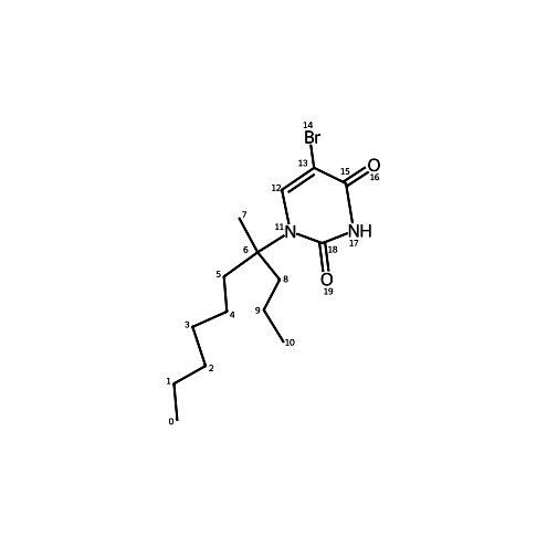 CCCCCCC(C)(CCC)n1cc(Br)c(=O)[nH]c1=O